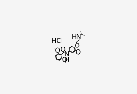 COc1cc(NC(=O)c2c(OC)cccc2OC)ccc1OCCNC(C)C.Cl